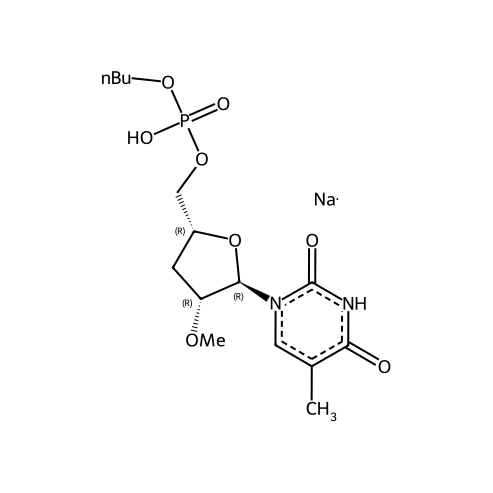 CCCCOP(=O)(O)OC[C@H]1C[C@@H](OC)[C@H](n2cc(C)c(=O)[nH]c2=O)O1.[Na]